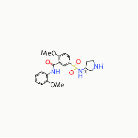 COc1ccccc1NC(=O)c1cc(S(=O)(=O)N[C@H]2CCNC2)ccc1OC